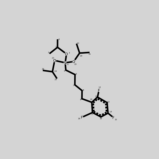 CC(C)O[Si](CCCCCc1c(F)cc(F)cc1F)(OC(C)C)OC(C)C